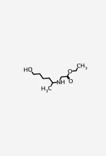 CCOC(=O)CNC(C)CCCCO